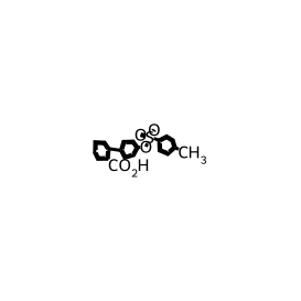 Cc1ccc(S(=O)(=O)Oc2ccc(-c3ccccc3C(=O)O)cc2)cc1